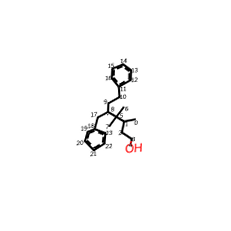 CC(CCO)C(C)(C)[C](CCc1ccccc1)Cc1ccccc1